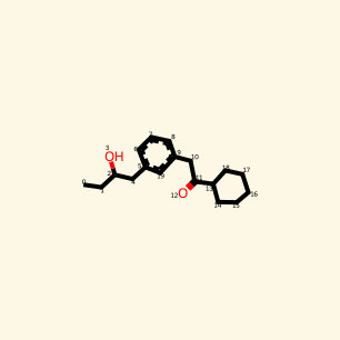 CCC(O)Cc1cccc(CC(=O)C2CCCCC2)c1